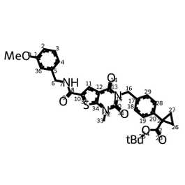 COc1cccc(CNC(=O)c2cc3c(=O)n(Cc4ccc(C5(C(=O)OC(C)(C)C)CC5)cc4)c(=O)n(C)c3s2)c1